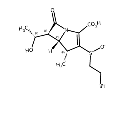 CC(C)CC[S+]([O-])C1=C(C(=O)O)N2C(=O)[C@H]([C@@H](C)O)[C@H]2[C@H]1C